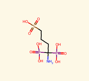 NC(CCCS(=O)(=O)O)(P(=O)(O)O)P(=O)(O)O